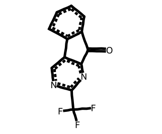 O=C1c2ccccc2-c2cnc(C(F)(F)F)nc21